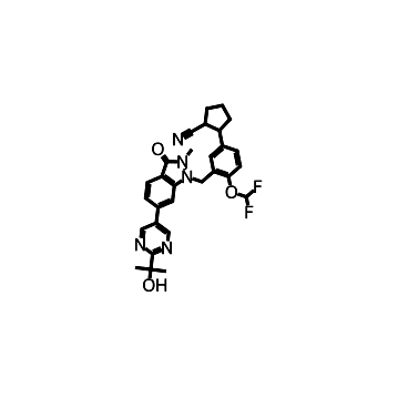 Cn1c(=O)c2ccc(-c3cnc(C(C)(C)O)nc3)cc2n1Cc1cc(C2CCCC2C#N)ccc1OC(F)F